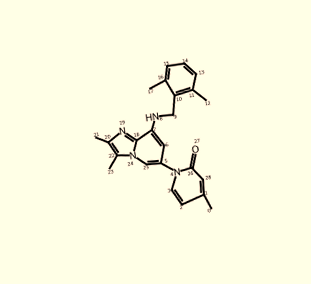 Cc1ccn(-c2cc(NCc3c(C)cccc3C)c3nc(C)c(C)n3c2)c(=O)c1